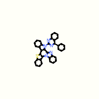 c1ccc(-c2nc(-n3c4ccccc4c4c5sc6ccccc6c5n5c6ccccc6nc5c43)nc3ccccc23)cc1